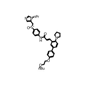 CCCCOCCOc1ccc(-c2ccc(N3CCCC3)c(C=CC(=O)Nc3ccc([S@@+]([O-])Cc4cncn4CCC)cc3)c2)cc1